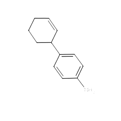 Nc1ccc([C]2C=CCCC2)cc1